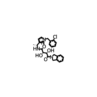 C[C@@H](NC(=O)[C@H](O)[C@@H](O)C(=O)N1Cc2ccccc2C1)c1ccn(Cc2ccccc2Cl)n1